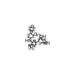 OCCOc1cc(Nc2nc(-c3cnc4cc[nH]c4c3)cn3ccnc23)ccc1N1CCOCC1